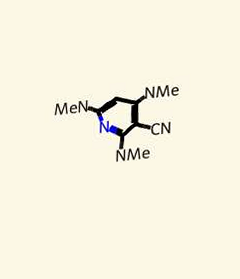 CNc1cc(NC)c(C#N)c(NC)n1